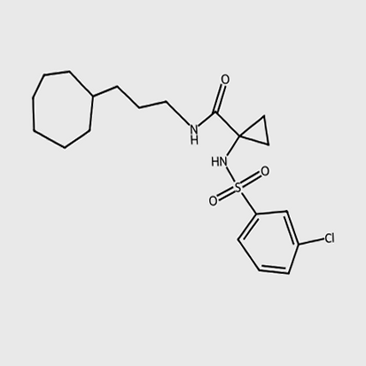 O=C(NCCCC1CCCCCC1)C1(NS(=O)(=O)c2cccc(Cl)c2)CC1